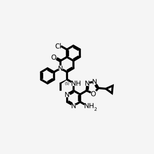 CC[C@H](Nc1ncnc(N)c1-c1nnc(C2CC2)o1)c1cc2cccc(Cl)c2c(=O)n1-c1ccccc1